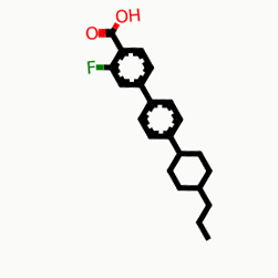 CCCC1CCC(c2ccc(-c3ccc(C(=O)O)c(F)c3)cc2)CC1